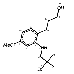 CCC(C)(C)CNc1cc(OC)ccc1CCCO